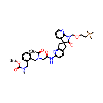 CN(Cc1ccccc1CN(CC(=O)Nc1ccc2c(n1)CC1(C2)C(=O)N(COCCS(C)(C)C)c2ncccc21)C(=O)C(C)(C)C)C(=O)OC(C)(C)C